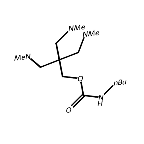 CCCCNC(=O)OCC(CNC)(CNC)CNC